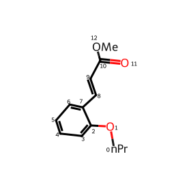 CCCOc1ccccc1C=CC(=O)OC